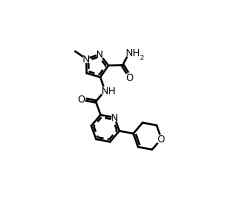 Cn1cc(NC(=O)c2cccc(C3=CCOCC3)n2)c(C(N)=O)n1